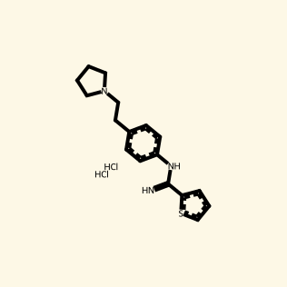 Cl.Cl.N=C(Nc1ccc(CCN2CCCC2)cc1)c1cccs1